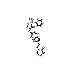 O=c1ncccn1CCc1nc2ccc(C[C@@H]3CC[C@H]([C@@H](O)c4ccccc4)N3)cc2[nH]1